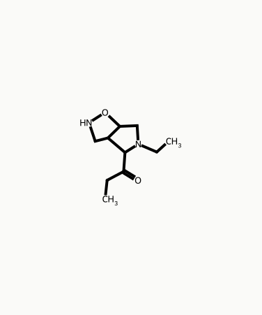 CCC(=O)C1C2CNOC2CN1CC